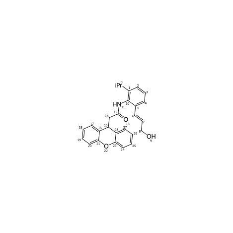 CC(C)c1cccc(/C=C/CO)c1NC(=O)CC1c2ccccc2Oc2ccccc21